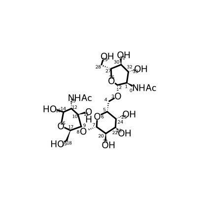 CC(=O)N[C@H]1[C@H](OC[C@H]2O[C@@H](O[C@H]3[C@H](O)[C@@H](NC(C)=O)C(O)O[C@@H]3CO)[C@H](O)[C@@H](O)[C@H]2O)O[C@H](CO)[C@@H](O)[C@@H]1O